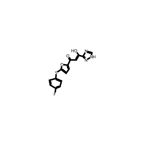 O=C(C=C(O)c1nc[nH]n1)c1ccc(Sc2ccc(F)cc2)o1